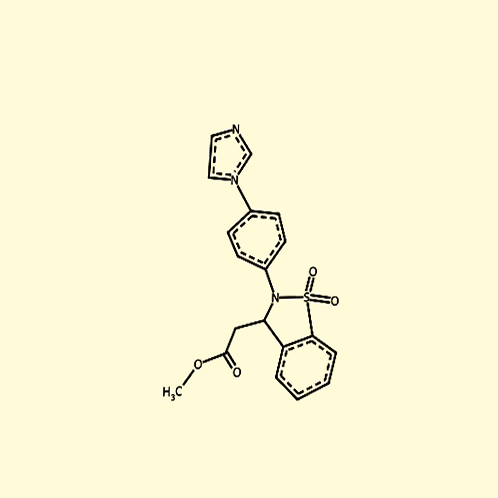 COC(=O)CC1c2ccccc2S(=O)(=O)N1c1ccc(-n2ccnc2)cc1